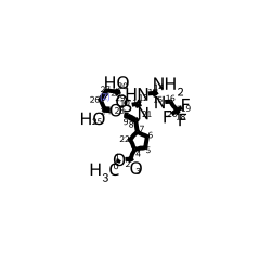 COC(=O)C1CCC(c2csc(NC(N)=NCC(F)(F)F)n2)C1.O=C(O)/C=C\C(=O)O